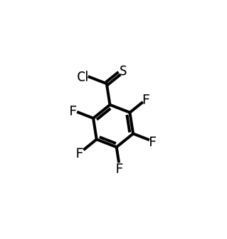 Fc1c(F)c(F)c(C(=S)Cl)c(F)c1F